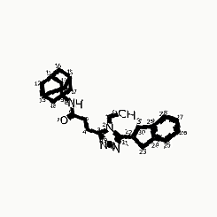 CCn1c(CCC(=O)NC23CC4CC(CC(C4)C2)C3)nnc1C1Cc2ccccc2C1